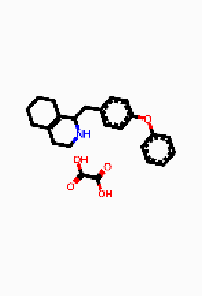 O=C(O)C(=O)O.c1ccc(Oc2ccc(CC3NCCC4=C3CCCC4)cc2)cc1